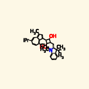 Cc1cc(C2C(O)C(C=C3N(C)c4ccccc4C3(C)C)C2O)c2c(C)ccc(C(C)C)cc1-2